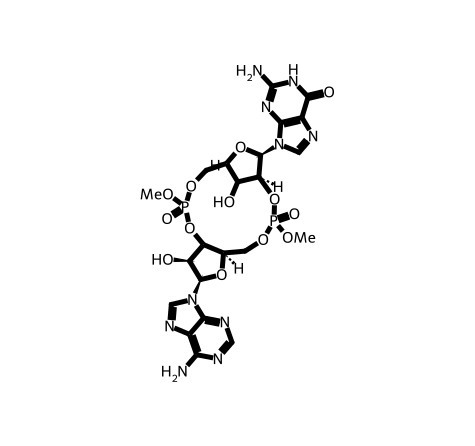 COP1(=O)OC[C@H]2O[C@@H](n3cnc4c(=O)[nH]c(N)nc43)[C@@H](OP(=O)(OC)OC[C@H]3O[C@@H](n4cnc5c(N)ncnc54)[C@@H](O)C3O1)C2O